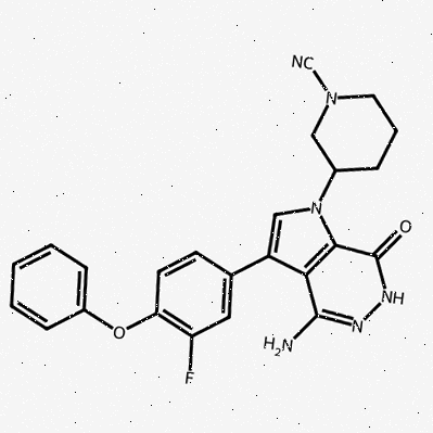 N#CN1CCCC(n2cc(-c3ccc(Oc4ccccc4)c(F)c3)c3c(N)n[nH]c(=O)c32)C1